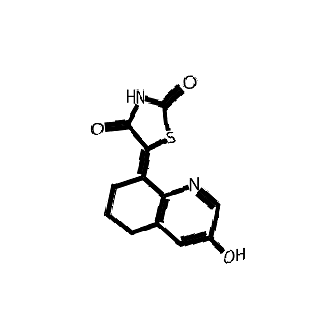 O=C1NC(=O)/C(=C2\CCCc3cc(O)cnc32)S1